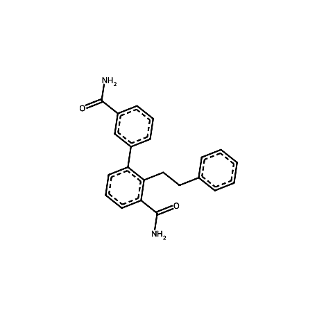 NC(=O)c1cccc(-c2cccc(C(N)=O)c2CCc2ccccc2)c1